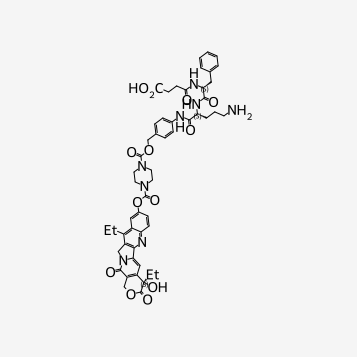 CCc1c2c(nc3ccc(OC(=O)N4CCN(C(=O)OCc5ccc(NC(=O)[C@H](CCCN)NC(=O)[C@H](Cc6ccccc6)NC(=O)CCC(=O)O)cc5)CC4)cc13)-c1cc3c(c(=O)n1C2)COC(=O)[C@]3(O)CC